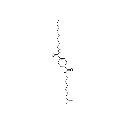 CC(C)CCCCCCOC(=O)C1=CCC(C(=O)OCCCCCCC(C)C)CC1